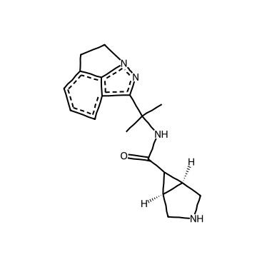 CC(C)(NC(=O)C1[C@H]2CNC[C@@H]12)c1nn2c3c(cccc13)CC2